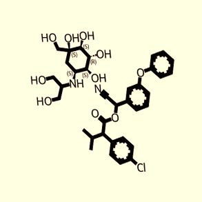 CC(C)C(C(=O)OC(C#N)c1cccc(Oc2ccccc2)c1)c1ccc(Cl)cc1.OCC(CO)N[C@H]1C[C@](O)(CO)[C@@H](O)[C@H](O)[C@H]1O